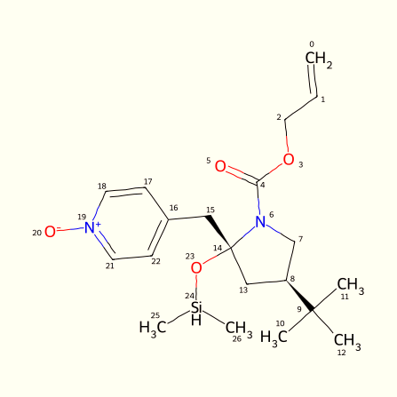 C=CCOC(=O)N1C[C@@H](C(C)(C)C)C[C@]1(Cc1cc[n+]([O-])cc1)O[SiH](C)C